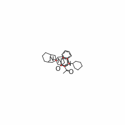 CC(=O)c1nc2ccccc2n(C2CC3CCCC(C2)N3C2CC3CC(CC(C4CCCCC4)C3)C2)c1=O